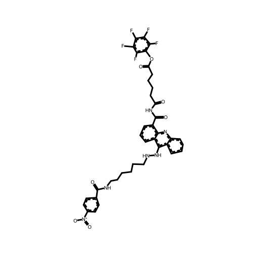 O=C(CCCCC(=O)Oc1c(F)c(F)c(F)c(F)c1F)NC(=O)c1cccc2c(NNCCCCCCNC(=O)c3ccc([N+](=O)[O-])cc3)c3ccccc3nc12